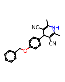 CC1=C(C#N)C(c2ccc(OCc3ccccc3)cc2)C(C#N)=C(C)N1